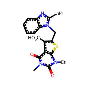 CCCc1nc2ccccc2n1Cc1sc2c(c1C(=O)O)c(=O)n(C)c(=O)n2CC